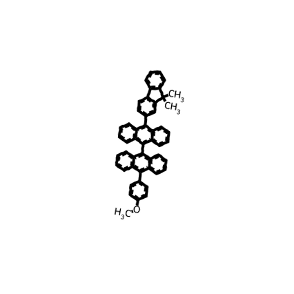 COc1ccc(-c2c3ccccc3c(-c3c4ccccc4c(-c4ccc5c(c4)C(C)(C)c4ccccc4-5)c4ccccc34)c3ccccc23)cc1